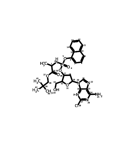 CC(NP(=O)(Oc1cccc2ccccc12)OC1CC(n2cnc3c(N)nc(Cl)nc32)OC1CO)C(=O)OCC(C)(C)C